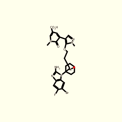 Cn1ncc(-c2cc(C(=O)O)cn(C)c2=O)c1OCCN1CC2CCC(n3c(N)nc4cc(F)c(Br)cc43)(CC2)C1